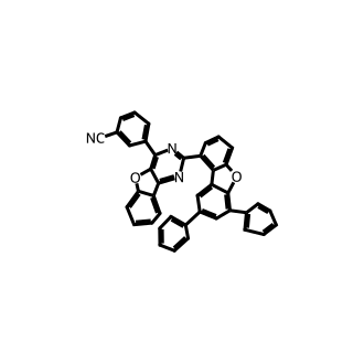 N#Cc1cccc(-c2nc(-c3cccc4oc5c(-c6ccccc6)cc(-c6ccccc6)cc5c34)nc3c2oc2ccccc23)c1